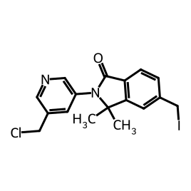 CC1(C)c2cc(CI)ccc2C(=O)N1c1cncc(CCl)c1